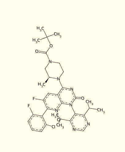 CC(C)c1ncnc(C(C)C)c1-n1c(=O)nc(N2CCN(C(=O)OC(C)(C)C)C[C@@H]2C)c2cc(F)c(-c3c(F)cccc3Cl)[n+]([O-])c21